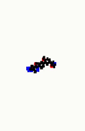 COc1ccc(-c2cnco2)cc1-c1ccc(NC(=O)C2=C(C)NNS2)cc1